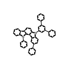 c1ccc(-c2cc(-c3ccccc3)cc(-n3c4ccc(-c5ccccc5)cc4c4c3ccc3c5ccccc5n(-c5ccccc5)c34)c2)cc1